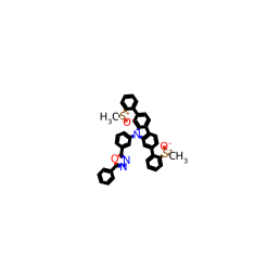 C[S+]([O-])c1ccccc1-c1ccc2c3ccc(-c4ccccc4[S+](C)[O-])cc3n(-c3cccc(-c4nnc(-c5ccccc5)o4)c3)c2c1